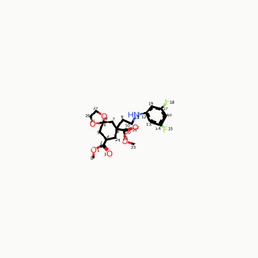 COC(=O)C1CC2(CC(CCNc3cc(F)cc(F)c3)(C(=O)OC)C1)OCCO2